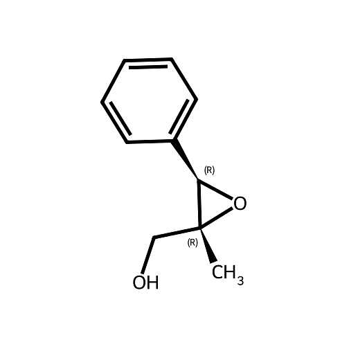 C[C@]1(CO)O[C@@H]1c1ccccc1